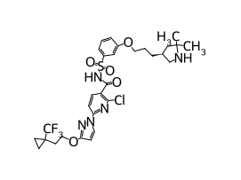 CC1(C)C[C@H](CCCOc2cccc(S(=O)(=O)NC(=O)c3ccc(-n4ccc(OCCC5(C(F)(F)F)CC5)n4)nc3Cl)c2)CN1